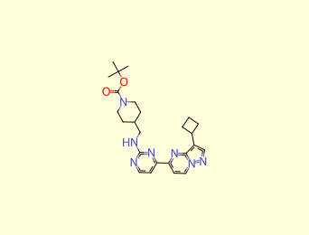 CC(C)(C)OC(=O)N1CCC(CNc2nccc(-c3ccn4ncc(C5CCC5)c4n3)n2)CC1